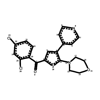 O=C(c1cc(-c2ccncc2)c(N2CCOCC2)s1)c1ccc(Cl)cc1Cl